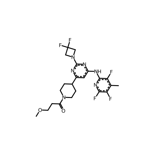 COCCC(=O)N1CCC(c2cc(Nc3nc(F)c(F)c(C)c3F)nc(N3CC(F)(F)C3)n2)CC1